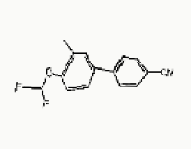 Cc1cc(-c2ccc(C#N)cc2)ccc1OC(F)F